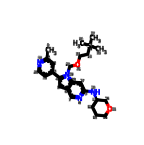 Cc1cc(-c2cc3cnc(N[C@@H]4CCCOC4)cc3n2COCC[Si](C)(C)C)ccn1